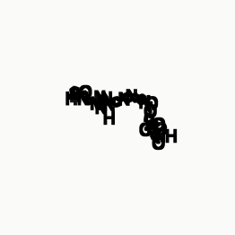 Cc1cccc(C(=O)NC2CC(n3cnc4c(Nc5ccc(N6CCN(CC7CCN(C(=O)COc8ccc9c(c8)C(=O)N([C@H]8CCC(=O)NC8=O)C9=O)CC7)CC6)cc5)ncnc43)C2)n1